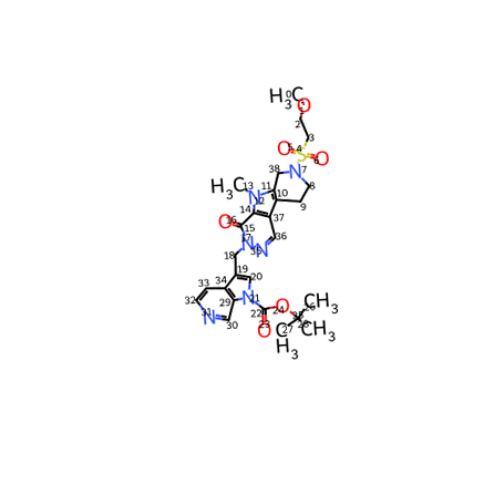 COCCS(=O)(=O)N1CCc2c(n(C)c3c(=O)n(Cc4cn(C(=O)OC(C)(C)C)c5cnccc45)ncc23)C1